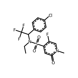 CCN(C(c1ccc(Cl)cc1)C(F)(F)F)S(=O)(=O)c1cc(=O)n(C)cc1F